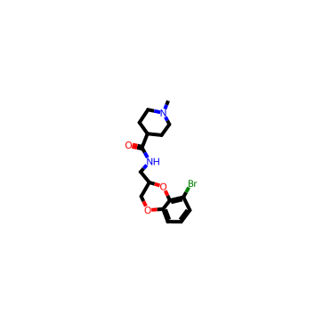 CN1CCC(C(=O)NCC2COc3cccc(Br)c3O2)CC1